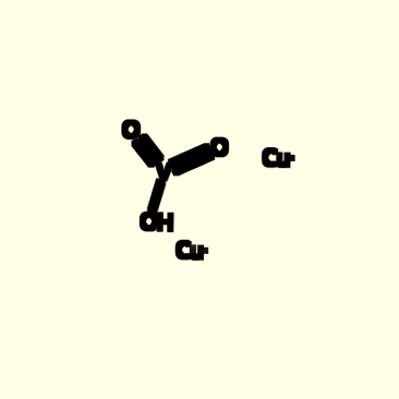 [Cu].[Cu].[O]=[V](=[O])[OH]